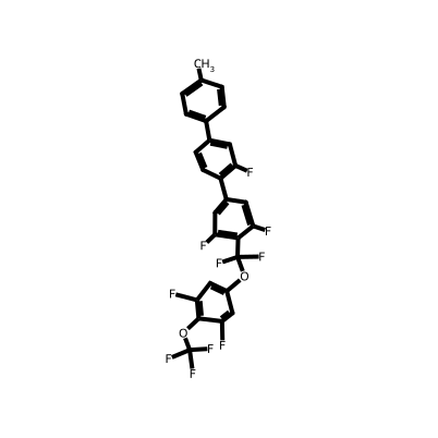 Cc1ccc(-c2ccc(-c3cc(F)c(C(F)(F)Oc4cc(F)c(OC(F)(F)F)c(F)c4)c(F)c3)c(F)c2)cc1